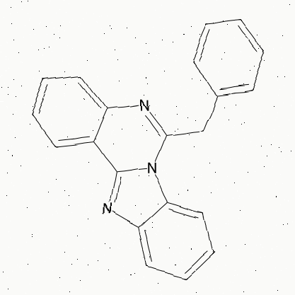 c1ccc(Cc2nc3ccccc3c3nc4ccccc4n23)cc1